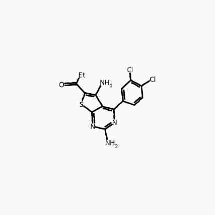 CCC(=O)c1sc2nc(N)nc(-c3ccc(Cl)c(Cl)c3)c2c1N